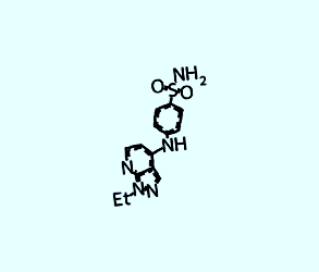 CCn1ncc2c(Nc3ccc(S(N)(=O)=O)cc3)ccnc21